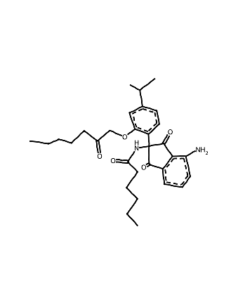 CCCCCC(=O)COc1cc(C(C)C)ccc1C1(NC(=O)CCCCC)C(=O)c2cccc(N)c2C1=O